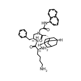 NCCCC[C@H](N)C(=O)N[C@@H](Cc1ccccc1)CN(CC(=O)Nc1cccc2ccccc12)C(=O)C[C@]12CC3C[C@H](C[C@H](C3)C1)C2